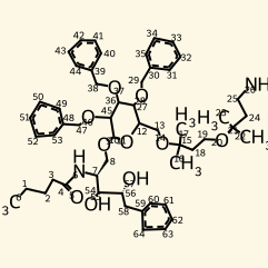 CCCCC(=O)N[C@@H](COC1OC(COC(C)(C)CCOC(C)(C)CCN)C(OCc2ccccc2)C(OCc2ccccc2)C1OCc1ccccc1)[C@H](O)[C@H](O)Cc1ccccc1